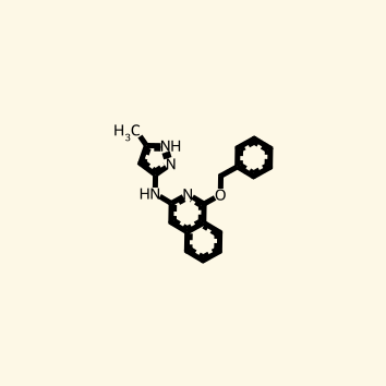 Cc1cc(Nc2cc3ccccc3c(OCc3ccccc3)n2)n[nH]1